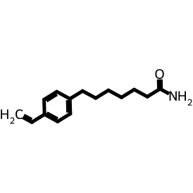 C=Cc1ccc(CCCCCCC(N)=O)cc1